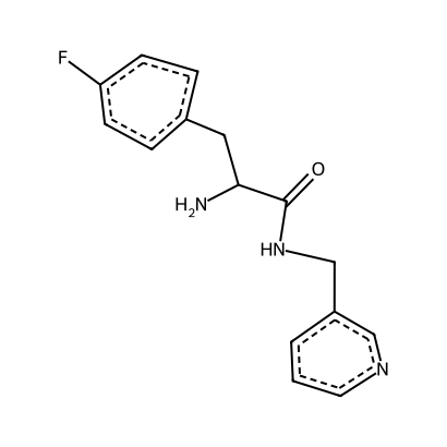 NC(Cc1ccc(F)cc1)C(=O)NCc1cccnc1